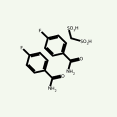 NC(=O)c1ccc(F)cc1.NC(=O)c1ccc(F)cc1.O=S(=O)(O)CS(=O)(=O)O